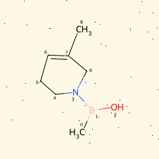 CB(O)N1CCC=C(C)C1